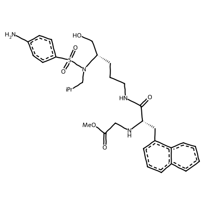 COC(=O)CN[C@@H](Cc1cccc2ccccc12)C(=O)NCCC[C@@H](CO)N(CC(C)C)S(=O)(=O)c1ccc(N)cc1